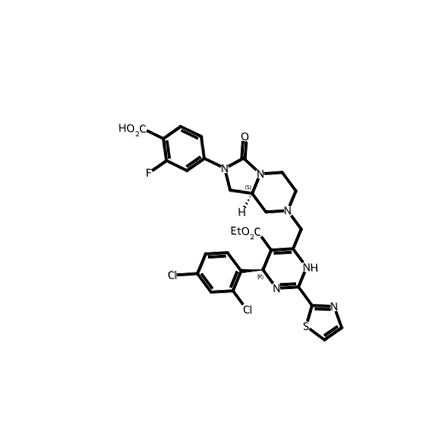 CCOC(=O)C1=C(CN2CCN3C(=O)N(c4ccc(C(=O)O)c(F)c4)C[C@@H]3C2)NC(c2nccs2)=N[C@H]1c1ccc(Cl)cc1Cl